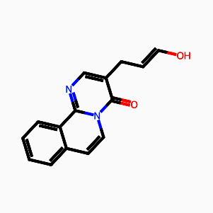 O=c1c(CC=CO)cnc2c3ccccc3ccn12